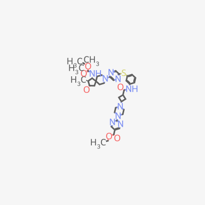 CCOC(=O)c1cnc(N2CCN(C3CC(C(=O)Nc4cccc(Sc5cnc(N6CCC7(CC6)CC(=O)[C@@H](C)[C@@H]7NC(=O)OC(C)(C)C)cn5)c4)C3)CC2)nc1